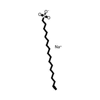 C=CCCCCCCCCCCCCCCCCS(=O)(=O)[O-].[Na+]